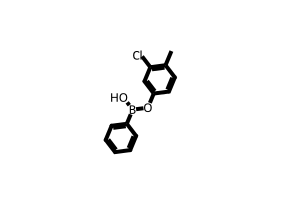 Cc1ccc(OB(O)c2ccccc2)cc1Cl